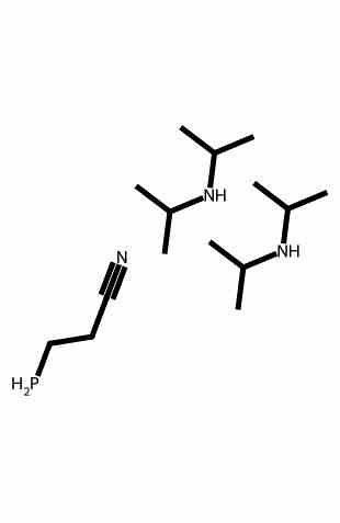 CC(C)NC(C)C.CC(C)NC(C)C.N#CCCP